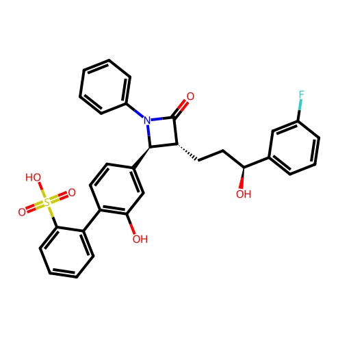 O=C1[C@H](CC[C@H](O)c2cccc(F)c2)[C@@H](c2ccc(-c3ccccc3S(=O)(=O)O)c(O)c2)N1c1ccccc1